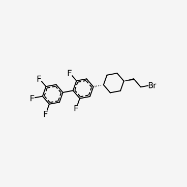 Fc1cc(-c2c(F)cc([C@H]3CC[C@H](CCBr)CC3)cc2F)cc(F)c1F